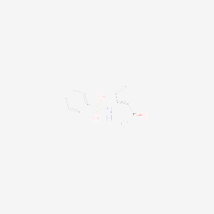 O=C(Cl)c1sccc1NS(=O)(=O)c1ccccc1